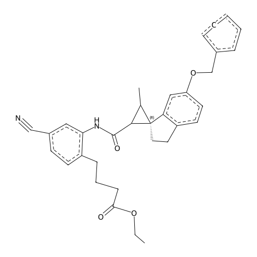 CCOC(=O)CCCc1ccc(C#N)cc1NC(=O)C1C(C)[C@]12CCc1ccc(OCc3ccccc3)cc12